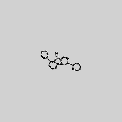 c1ccc(-c2ccc3[nH]c4c(-c5ccccc5)cccc4c3c2)cc1